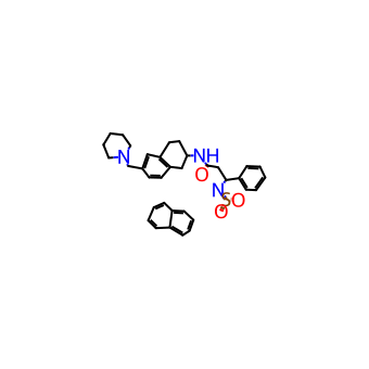 O=C(CC(N=S(=O)=O)c1ccccc1)NC1CCc2cc(CN3CCCCC3)ccc2C1.c1ccc2ccccc2c1